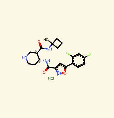 Cl.N#CC1(NC(=O)[C@@H]2CNCC[C@H]2NC(=O)c2cc(-c3ccc(F)cc3F)on2)CCC1